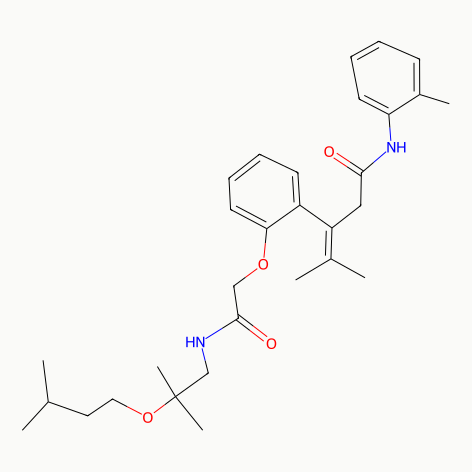 CC(C)=C(CC(=O)Nc1ccccc1C)c1ccccc1OCC(=O)NCC(C)(C)OCCC(C)C